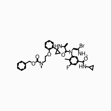 C=C(NC1(c2ccccc2OCCN(C)C(=O)OCc2ccccc2)CC1)C(=O)N(/C=C(\N)Br)c1cc(C(=O)NC2CC2)cc(F)c1C